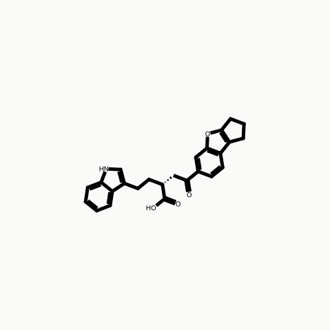 O=C(C[C@@H](CCc1c[nH]c2ccccc12)C(=O)O)c1ccc2c3c(oc2c1)CCC3